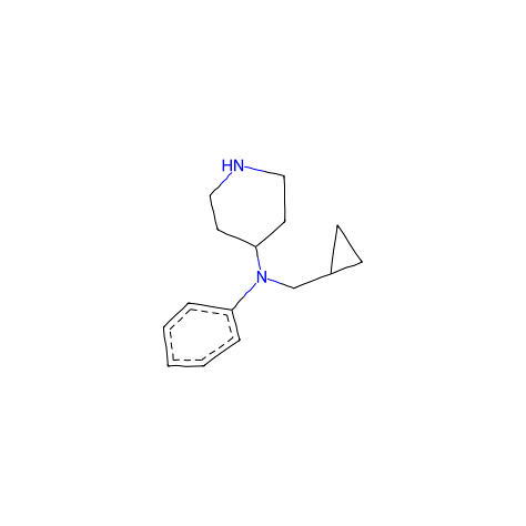 c1ccc(N(CC2CC2)C2CCNCC2)cc1